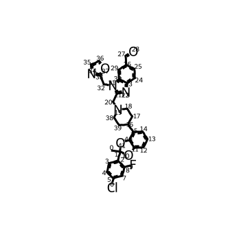 CC1(c2ccc(Cl)cc2F)Oc2cccc(C3CCN(Cc4nc5ccc(C=O)cc5n4Cc4ncco4)CC3)c2O1